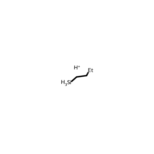 CCCC[SiH3].[H+]